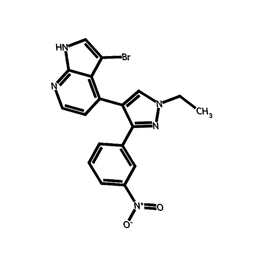 CCn1cc(-c2ccnc3[nH]cc(Br)c23)c(-c2cccc([N+](=O)[O-])c2)n1